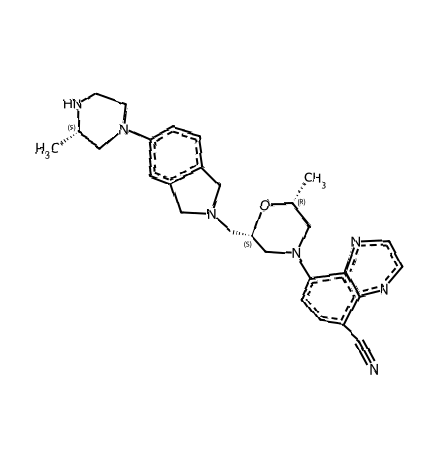 C[C@@H]1CN(c2ccc(C#N)c3nccnc23)C[C@H](CN2Cc3ccc(N4CCN[C@@H](C)C4)cc3C2)O1